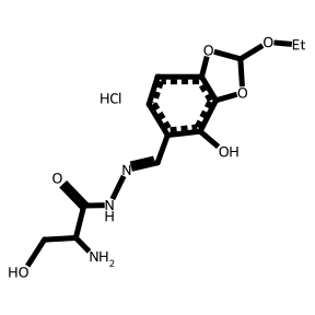 CCOC1Oc2ccc(C=NNC(=O)C(N)CO)c(O)c2O1.Cl